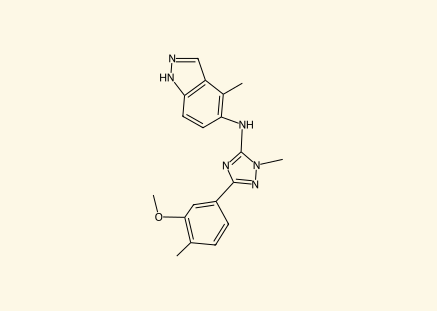 COc1cc(-c2nc(Nc3ccc4[nH]ncc4c3C)n(C)n2)ccc1C